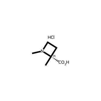 CN1CC[C@]1(C)C(=O)O.Cl